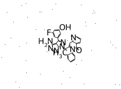 Cc1ccccc1-n1c(Cn2nc(-c3cc(O)cc(F)c3)c3c(N)ncnc32)cc2ncccc2c1=O